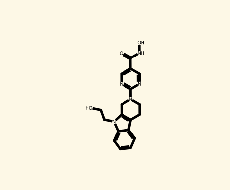 O=C(NO)c1cnc(N2CCc3c(n(CCO)c4ccccc34)C2)nc1